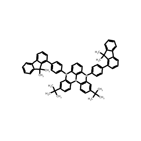 CC(C)(C)c1ccc2c(c1)N(c1ccc(-c3cccc4c3C(C)(C)c3ccccc3-4)cc1)c1cccc3c1B2c1ccc(C(C)(C)C)cc1N3c1ccc(-c2cccc3c2C(C)(C)c2ccccc2-3)cc1